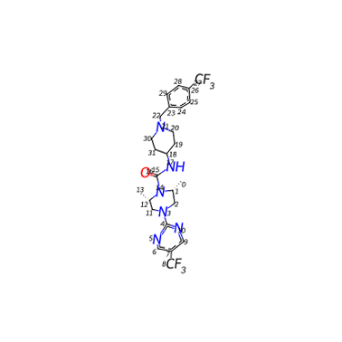 C[C@@H]1CN(c2ncc(C(F)(F)F)cn2)C[C@H](C)N1C(=O)NC1CCN(Cc2ccc(C(F)(F)F)cc2)CC1